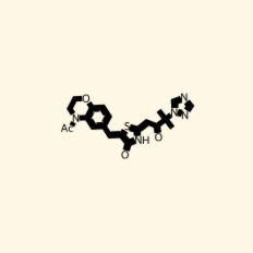 CC(=O)N1CCOc2ccc(/C=c3\s/c(=C/C(=O)C(C)(C)n4cncn4)[nH]c3=O)cc21